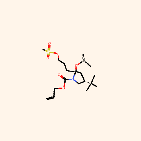 C=CCOC(=O)N1C[C@@H](C(C)(C)C)C[C@@]1(CCCOS(C)(=O)=O)O[SiH](C)C